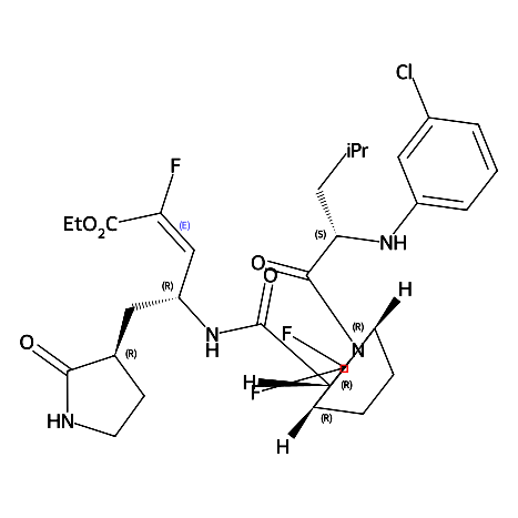 CCOC(=O)/C(F)=C\[C@@H](C[C@H]1CCNC1=O)NC(=O)[C@H]1[C@H]2CC[C@H](CC2(F)F)N1C(=O)[C@H](CC(C)C)Nc1cccc(Cl)c1